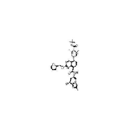 Cc1cn2cc(NC(=O)c3ccc(N4C[C@H](C)N(C(=O)OC(C)(C)C)[C@@H](C)C4)c4cnc(OCC5CCCO5)nc34)cc(F)c2n1